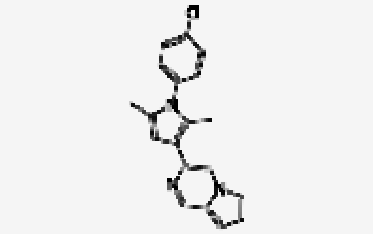 Cc1cc(-c2cn3cccc3cn2)c(C)n1-c1ccc(Cl)cc1